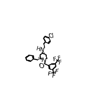 O=C(c1cc(C(F)(F)F)cc(C(F)(F)F)c1)N1CC[C@H](NCCc2ccc(Cl)cc2)C[C@@H]1Cc1ccccc1